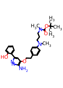 CN(CCCN(C)c1ccc(CCOc2cc(-c3ccccc3O)nnc2N)cc1)C(=O)OC(C)(C)C